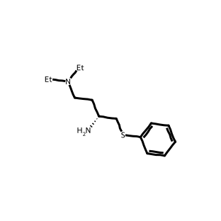 CCN(CC)CC[C@@H](N)CSc1ccccc1